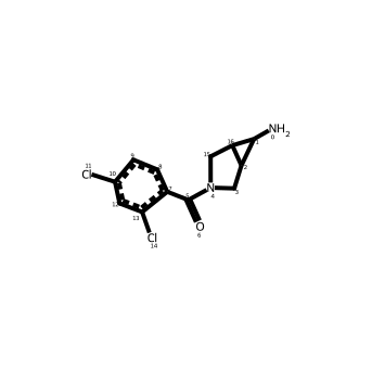 NC1C2CN(C(=O)c3ccc(Cl)cc3Cl)CC12